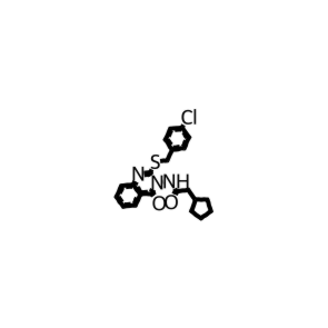 O=C(CC1CCCC1)Nn1c(SCc2ccc(Cl)cc2)nc2ccccc2c1=O